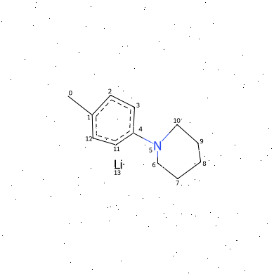 Cc1ccc(N2CCCCC2)cc1.[Li]